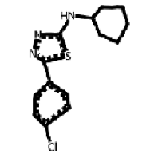 Clc1ccc(-c2nnc(NC3CCCCC3)s2)cc1